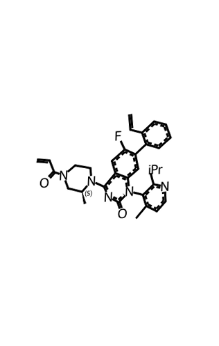 C=CC(=O)N1CCN(c2nc(=O)n(-c3c(C)ccnc3C(C)C)c3cc(-c4ccccc4C=C)c(F)cc23)[C@@H](C)C1